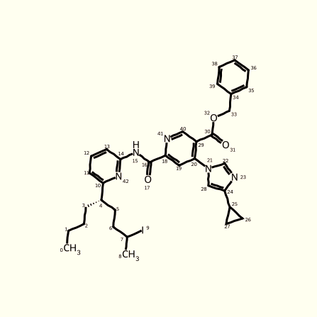 CCCC[C@@H](CCC(C)I)c1cccc(NC(=O)c2cc(-n3cnc(C4CC4)c3)c(C(=O)OCc3ccccc3)cn2)n1